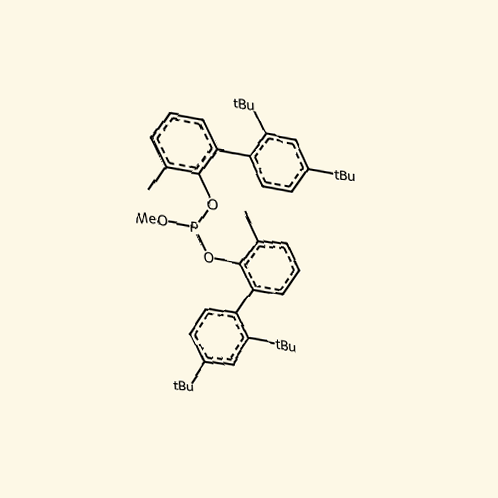 COP(Oc1c(C)cccc1-c1ccc(C(C)(C)C)cc1C(C)(C)C)Oc1c(C)cccc1-c1ccc(C(C)(C)C)cc1C(C)(C)C